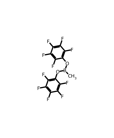 CB(Oc1c(F)c(F)c(F)c(F)c1F)Oc1c(F)c(F)c(F)c(F)c1F